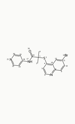 CC(C)(Sc1ccnc2ccc(Br)cc12)C(=O)Nc1ccncc1